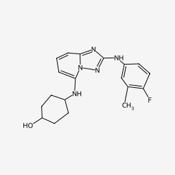 Cc1cc(Nc2nc3cccc(NC4CCC(O)CC4)n3n2)ccc1F